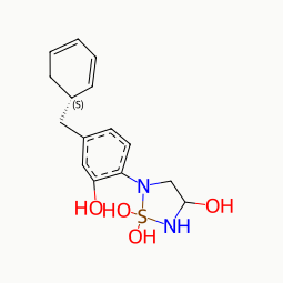 Oc1cc(C[C@H]2C=CC=CC2)ccc1N1CC(O)NS1(O)O